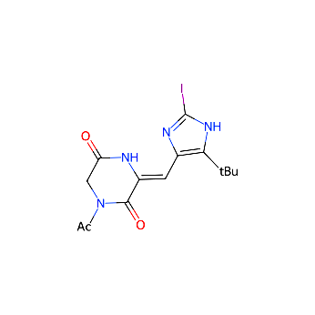 CC(=O)N1CC(=O)N/C(=C\c2nc(I)[nH]c2C(C)(C)C)C1=O